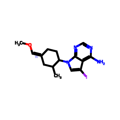 CO/C=C1\CCC(n2cc(I)c3c(N)ncnc32)C(C)C1